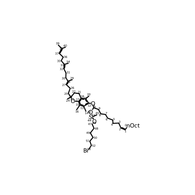 CCCCCCCC/C=C\CCCCCCCC(Oc1c(C)c(C)c2c(c1C)CCC(C)(CC/C=C(\C)CC/C=C(\C)CCC=C(C)C)O2)O[Si](C)(C)OCCCCCCBr